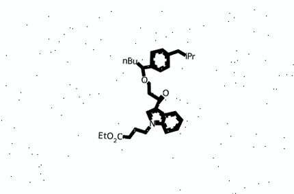 CCCCC(OCCC(=O)c1cn(CCCC(=O)OCC)c2ccccc12)c1ccc(CC(C)C)cc1